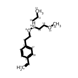 C=Cc1ccc(CCO[SiH](CCC)CCOC)cc1